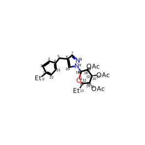 CCc1ccc(Cc2cnn([C@@H]3O[C@H](CC)[C@@H](OC(C)=O)[C@H](OC(C)=O)[C@H]3OC(C)=O)c2)cc1